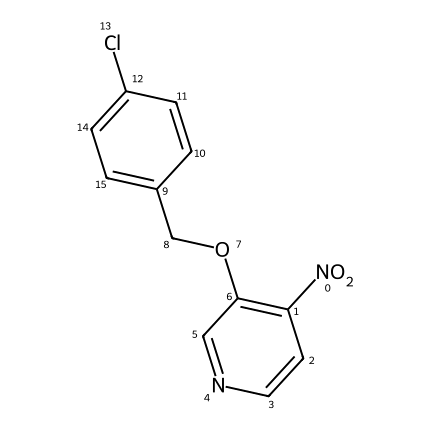 O=[N+]([O-])c1ccncc1OCc1ccc(Cl)cc1